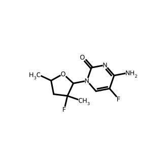 CC1CC(C)(F)C(n2cc(F)c(N)nc2=O)O1